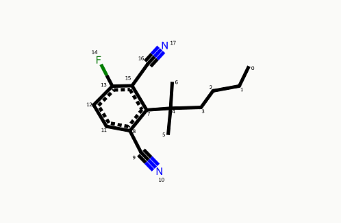 CCCCC(C)(C)c1c(C#N)ccc(F)c1C#N